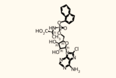 C[C@H](N[P@@](=O)(OC[C@H]1O[C@@H](n2c(Cl)nc3c(N)ncnc32)[C@H](O)[C@H]1O)Oc1cccc2ccccc12)C(=O)O